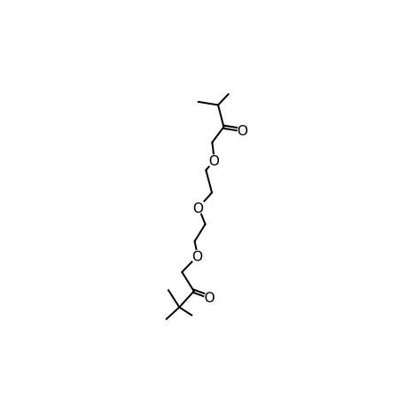 CC(C)C(=O)COCCOCCOCC(=O)C(C)(C)C